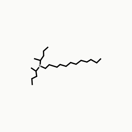 CCCCCCCCCCCCN(C(C)CCC)C(C)CCC